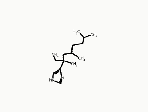 CCC(C)(CC(C)CCC(C)C)c1c[nH]cn1